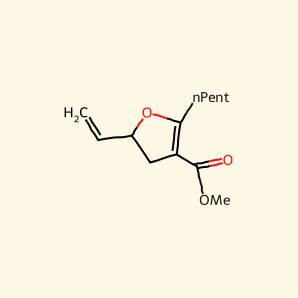 C=CC1CC(C(=O)OC)=C(CCCCC)O1